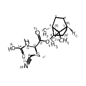 CC1(C)[C@@H]2CC[C@]1(C)C(OC(=O)C(NC(=O)O)SC#N)C2